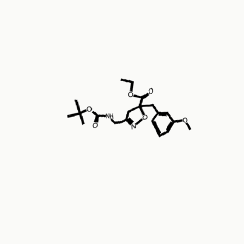 CCOC(=O)C1(Cc2cccc(OC)c2)CC(CNC(=O)OC(C)(C)C)=NO1